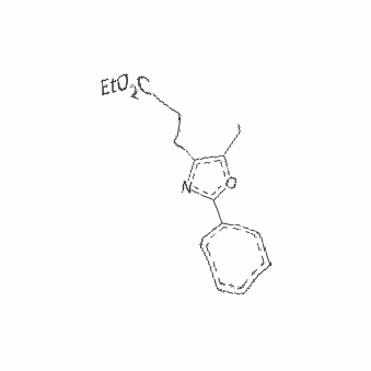 CCOC(=O)CCc1nc(-c2ccccc2)oc1C